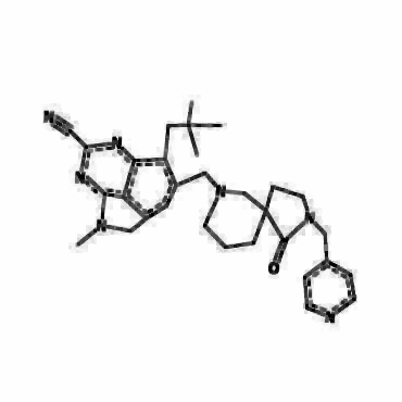 CN1Cc2cc(CN3CCCC4(CCN(Cc5ccncc5)C4=O)C3)c(CC(C)(C)C)c3nc(C#N)nc1c23